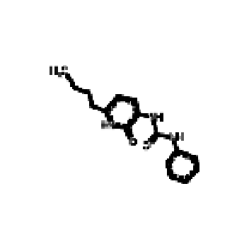 CCCCc1ccc(NC(=O)Nc2ccccc2)c(=O)[nH]1